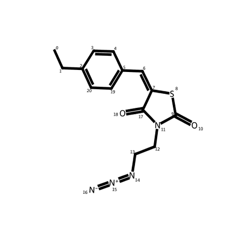 CCc1ccc(C=C2SC(=O)N(CCN=[N+]=[N-])C2=O)cc1